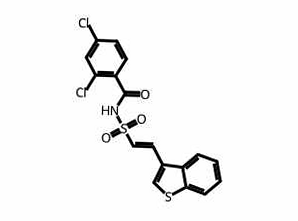 O=C(NS(=O)(=O)C=Cc1csc2ccccc12)c1ccc(Cl)cc1Cl